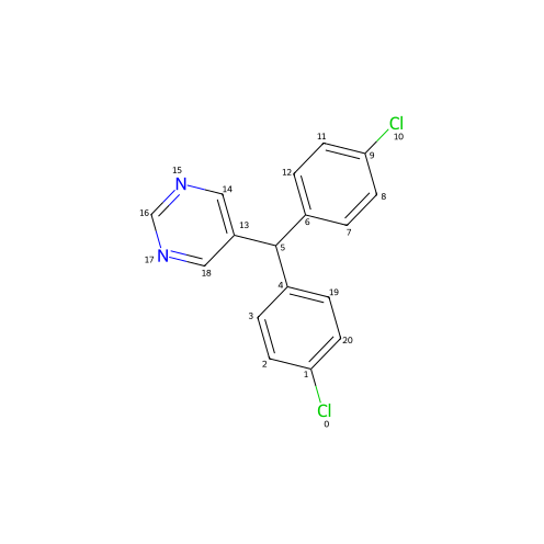 Clc1ccc(C(c2ccc(Cl)cc2)c2cncnc2)cc1